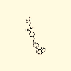 COC(CCC(=O)NC1CCC(CCN2CCN(c3nccc4c3OCC4)CC2)CC1)OC